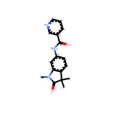 CN1C(=O)C(C)(C)c2ccc(NC(=O)c3cccnc3)cc21